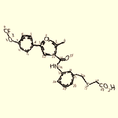 Cc1oc(-c2ccc(OC(F)(F)F)cc2)cc1C(=O)Nc1cccc(CSCC(=O)O)c1